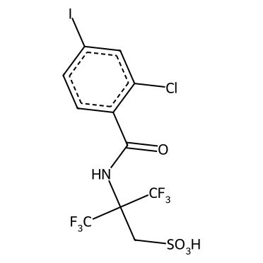 O=C(NC(CS(=O)(=O)O)(C(F)(F)F)C(F)(F)F)c1ccc(I)cc1Cl